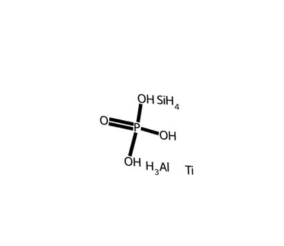 O=P(O)(O)O.[AlH3].[SiH4].[Ti]